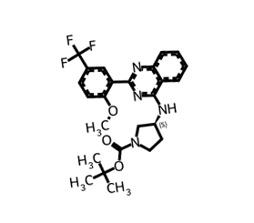 COc1ccc(C(F)(F)F)cc1-c1nc(N[C@H]2CCN(C(=O)OC(C)(C)C)C2)c2ccccc2n1